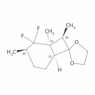 C[C@@H]1CC[C@@H]2C3(OCCO3)[C@H](C)[C@]2(C)C1(F)F